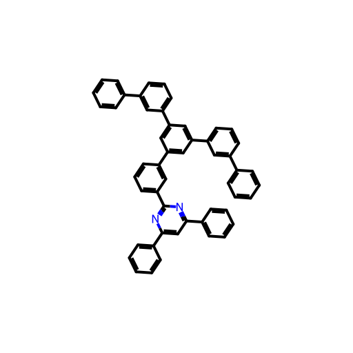 c1ccc(-c2cccc(-c3cc(-c4cccc(-c5ccccc5)c4)cc(-c4cccc(-c5nc(-c6ccccc6)cc(-c6ccccc6)n5)c4)c3)c2)cc1